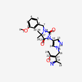 COc1cccc(CN2C(=O)N(c3cnn(Cc4c(C)noc4C)c3)C(=O)C2(C)C)c1